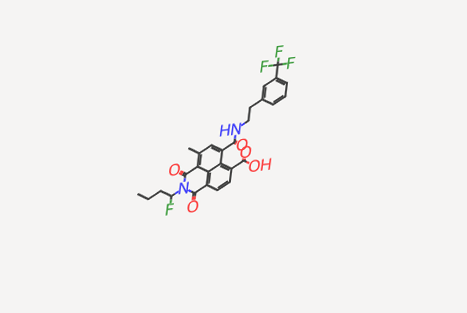 CCCC(F)N1C(=O)c2ccc(C(=O)O)c3c(C(=O)NCCc4cccc(C(F)(F)F)c4)cc(C)c(c23)C1=O